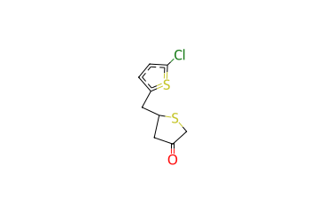 O=C1CSC(Cc2ccc(Cl)s2)C1